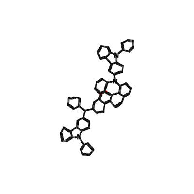 c1ccc(C(c2ccc3c(ccc4c3ccc3cccc(N(c5ccccc5)c5ccc6c(c5)c5ccccc5n6-c5ccccc5)c34)c2)c2ccc3c(c2)c2ccccc2n3-c2ccccc2)cc1